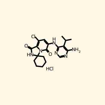 CC(C)c1c(N)ncnc1Nc1cc(Cl)c2n(c1=O)C1(CCCCC1)NC2=O.Cl